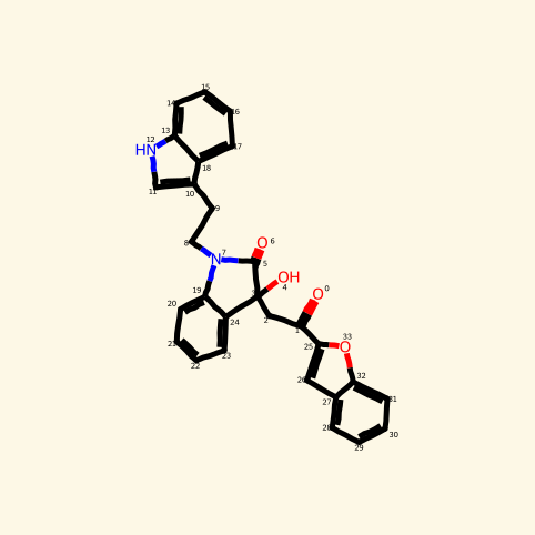 O=C(CC1(O)C(=O)N(CCc2c[nH]c3ccccc23)c2ccccc21)c1cc2ccccc2o1